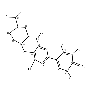 COc1cc(-c2cn(C)c(=O)c(C)c2C)cc(Cl)c1CN1CCC(C(C)C)CC1